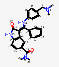 CN(C)Cc1ccc(N/C(=C2\C(=O)Nc3ccc(C(=O)N(C)C)cc32)c2ccccc2)cc1